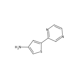 Nc1csc(-c2cnccn2)c1